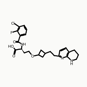 O=C(N[C@@H](CCOC1CC(CCc2ccc3c(n2)NCCC3)C1)C(=O)O)c1cccc(Cl)c1F